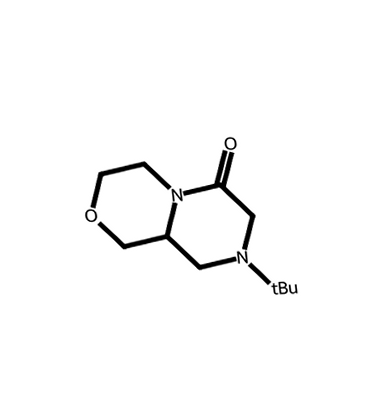 CC(C)(C)N1CC(=O)N2CCOCC2C1